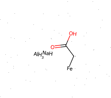 O=C(O)[CH][Fe].[AlH3].[NaH]